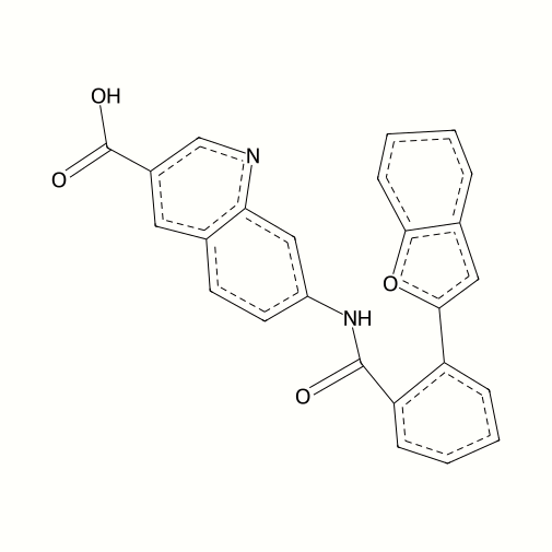 O=C(O)c1cnc2cc(NC(=O)c3ccccc3-c3cc4ccccc4o3)ccc2c1